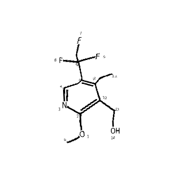 COc1ncc(C(F)(F)F)c(C)c1CO